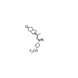 C=NN(/C=C(\C)N1CC2CC(=O)CC2C1)[C@H]1C[C@@H](OC(F)(F)F)C1